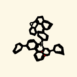 c1ccc(-c2cccc(N(c3ccc(-c4cccc5ccc6oc7ccccc7c6c45)cc3)c3ccc(-c4ccccc4)cc3-c3ccccc3)c2)cc1